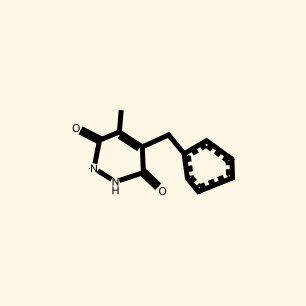 CC1=C(Cc2ccccc2)C(=O)N[N]C1=O